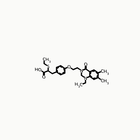 CCSC(Cc1ccc(OCCN2CN(CC)c3cc(C)c(C)cc3C2=O)cc1)C(=O)O